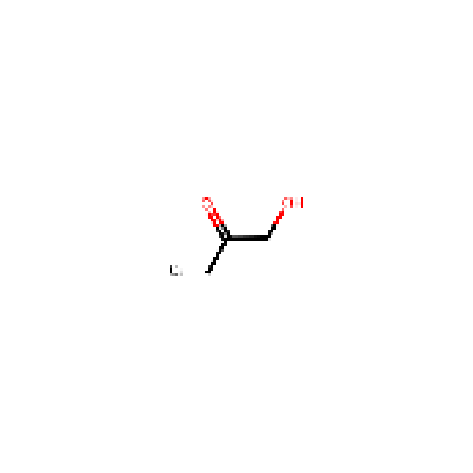 CC(=O)CO.[C]